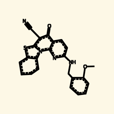 COc1ccccc1CNc1ccc2c(=O)c(C#N)c3sc4ccccc4n3c2n1